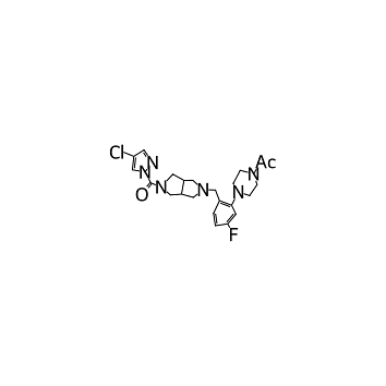 CC(=O)N1CCN(c2cc(F)ccc2CN2CC3CN(C(=O)n4cc(Cl)cn4)CC3C2)CC1